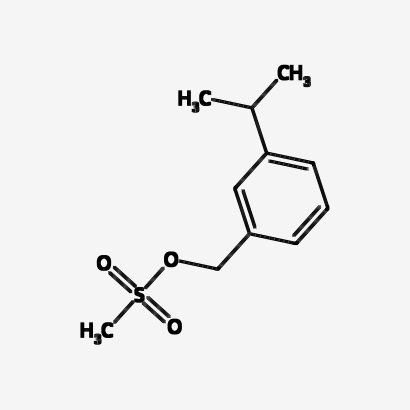 CC(C)c1cccc(COS(C)(=O)=O)c1